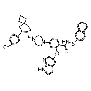 O=C(NSc1ccc2ccccc2c1)c1ccc(N2CCN(CC3=C(c4ccc(Cl)cc4)CC4(CCC4)CC3)CC2)cc1Oc1cnc2[nH]ccc2c1